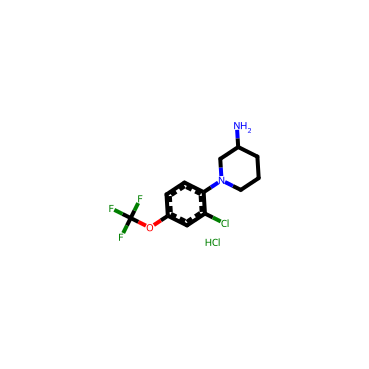 Cl.NC1CCCN(c2ccc(OC(F)(F)F)cc2Cl)C1